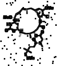 COc1cc2cc(c1Cl)N(C)C(=O)C[C@H](OC(=O)[C@H](C)N(C)C(=O)CCC(C)(C)SSC)[C@@H](C)C[C@H](C)[C@@H]1C[C@@](O)(NC(=O)O1)[C@H](OC)/C=C/C=C(\C)C2